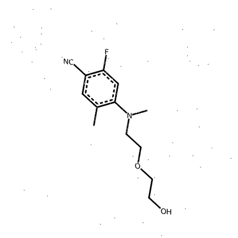 Cc1cc(C#N)c(F)cc1N(C)CCOCCO